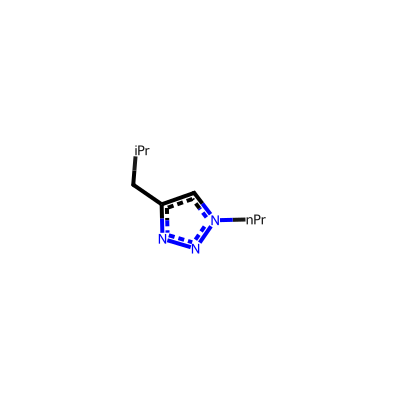 CCCn1cc(CC(C)C)nn1